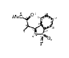 COC(=O)C(C)C1=NS(=O)(=O)c2ccccc21